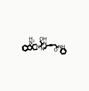 N[C@@H]1c2ccccc2CC12CCN(c1ncc(C#CCC(=O)Nc3ccccc3)nc1CO)CC2